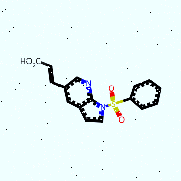 O=C(O)/C=C/c1cnc2c(ccn2S(=O)(=O)c2ccccc2)c1